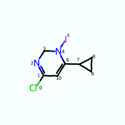 ClC1=NCN(I)C(C2CC2)=C1